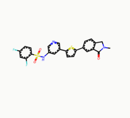 CN1Cc2ccc(-c3ccc(-c4cncc(NS(=O)(=O)c5ccc(F)cc5F)c4)s3)cc2C1=O